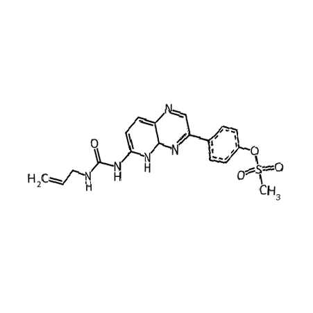 C=CCNC(=O)NC1=CC=C2N=CC(c3ccc(OS(C)(=O)=O)cc3)=NC2N1